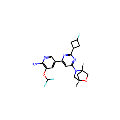 Nc1ncc(-c2cc(N3C[C@@H]4C[C@H]3CO4)nc(C3CC(F)C3)n2)cc1OC(F)F